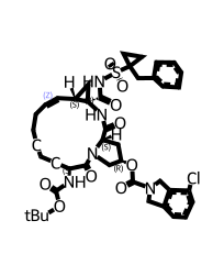 CC(C)(C)OC(=O)N[C@H]1CCCCC/C=C\[C@@H]2C[C@@]2(C(=O)NS(=O)(=O)C2(Cc3ccccc3)CC2)NC(=O)[C@@H]2C[C@@H](OC(=O)N3Cc4cccc(Cl)c4C3)CN2C1=O